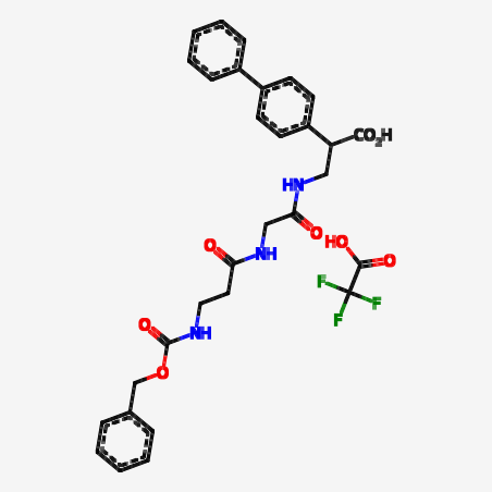 O=C(CCNC(=O)OCc1ccccc1)NCC(=O)NCC(C(=O)O)c1ccc(-c2ccccc2)cc1.O=C(O)C(F)(F)F